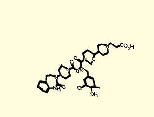 Cc1cc(C[C@@H](OC(=O)N2CCC(N3CCc4ccccc4NC3=O)CC2)C(=O)N2CCC(C3CCN(CCC(=O)O)CC3)CC2)cc(Cl)c1O